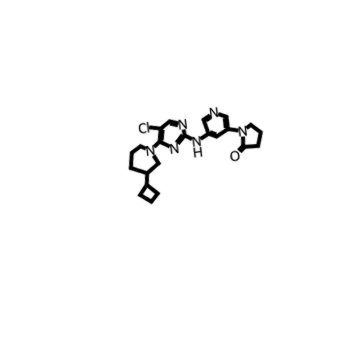 O=C1CCCN1c1cncc(Nc2ncc(Cl)c(N3CCCC(C4CCC4)C3)n2)c1